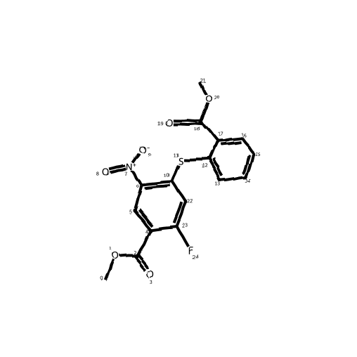 COC(=O)c1cc([N+](=O)[O-])c(Sc2ccccc2C(=O)OC)cc1F